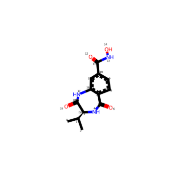 CC(C)[C@@H]1NC(=O)c2ccc(C(=O)NO)cc2NC1=O